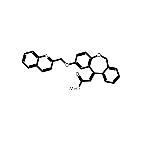 COC(=O)/C=C1/c2ccccc2COc2ccc(OCc3ccc4ccccc4n3)cc21